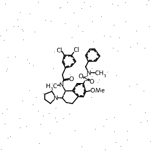 COc1cc2c(cc1S(=O)(=O)N(C)Cc1ccccc1)C(N(C)C(=O)Cc1ccc(Cl)c(Cl)c1)C(N1CCCC1)CC2